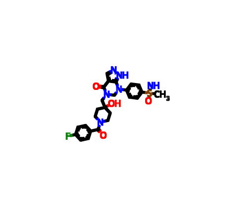 CS(=N)(=O)c1ccc(N2CN(CC3(O)CCN(C(=O)c4ccc(F)cc4)CC3)C(=O)c3cn[nH]c32)cc1